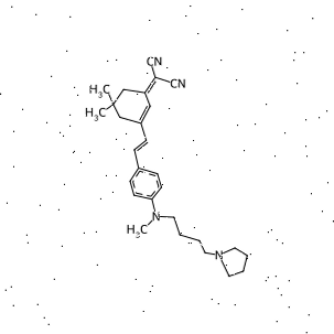 CN(CCCCN1CCCC1)c1ccc(/C=C/C2=CC(=C(C#N)C#N)CC(C)(C)C2)cc1